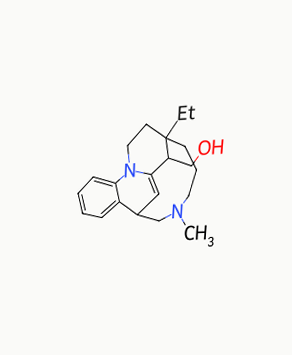 CCC12CCCN(C)CC3C=C(C1CO)N(CC2)c1ccccc13